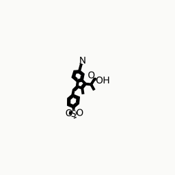 CC1=C(C(C)C(=O)O)c2cc(C#N)ccc2C1=Cc1ccc(S(C)(=O)=O)cc1